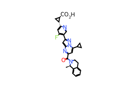 C[C@@H]1c2ccccc2CCN1C(=O)c1cc(C2CC2)n2nc(-c3cnc([C@@H]4C[C@H]4C(=O)O)cc3F)cc2n1